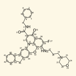 O=C(NCc1ccccc1)c1cn2c3c(c(NCCCN4CCOCC4)c(F)cc3c1=O)Oc1cc3c(cc1-2)-c1ccccc1C3